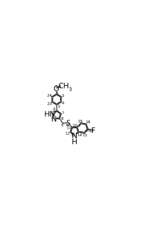 COc1ccc(-c2cc(CSc3c[nH]c4cc(F)ccc34)n[nH]2)cc1